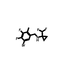 Cc1c(CNC2(C(F)F)CC2)cc(Br)c(F)c1F